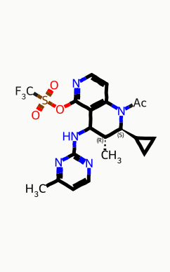 CC(=O)N1c2ccnc(OS(=O)(=O)C(F)(F)F)c2C(Nc2nccc(C)n2)[C@@H](C)[C@@H]1C1CC1